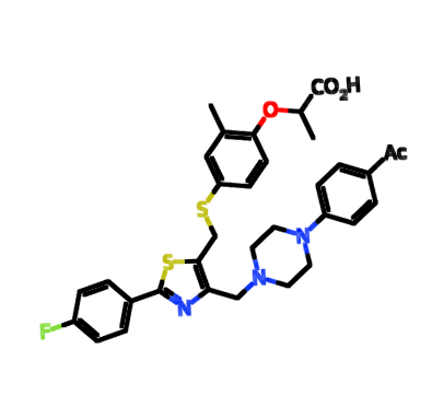 CC(=O)c1ccc(N2CCN(Cc3nc(-c4ccc(F)cc4)sc3CSc3ccc(OC(C)C(=O)O)c(C)c3)CC2)cc1